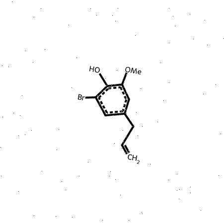 C=CCc1cc(Br)c(O)c(OC)c1